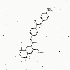 CCCc1cc2c(cc1/C(C)=C/c1ccc(C(=O)Oc3ccc(N)cc3)cc1)C(C)(C)CCC2(C)C